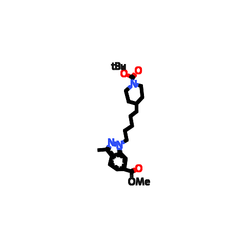 COC(=O)c1ccc2c(C)nn(CCCCCC3CCN(C(=O)OC(C)(C)C)CC3)c2c1